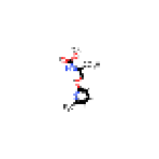 CC(C)(C)OC(=O)NC(COc1cccc(C(F)(F)F)n1)C(=O)O